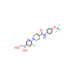 O=C(Nc1ccc(OC(F)(F)F)cc1)C1=CCN(c2ncc([C@H](O)CO)cc2F)CC1